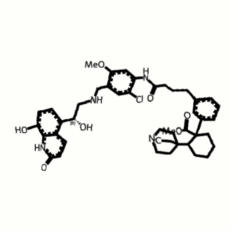 COC(=O)C1(c2cccc(CCCC(=O)Nc3cc(OC)c(CNC[C@H](O)c4ccc(O)c5[nH]c(=O)ccc45)cc3Cl)c2)CCCCC1C12CCN(CC1)CC2